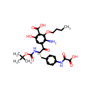 CCCCOc1c(N)c(C(=O)[C@H](Cc2ccc(NC(=O)C(=O)O)cc2)NC(=O)OC(C)(C)C)cc(O)c1C(=O)O